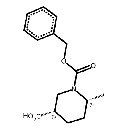 C[C@@H]1CC[C@H](C(=O)O)CN1C(=O)OCc1ccccc1